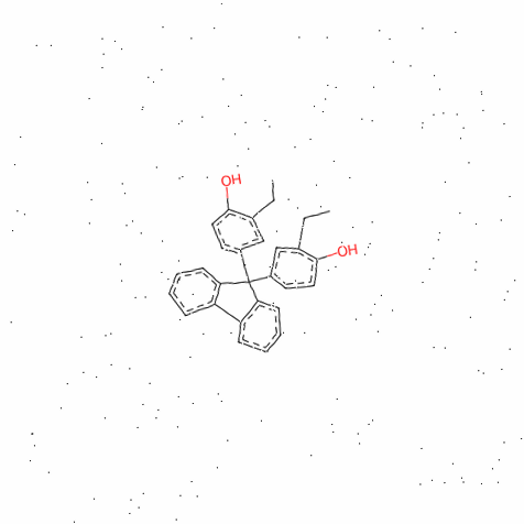 CCc1cc(C2(c3ccc(O)c(CC)c3)c3ccccc3-c3ccccc32)ccc1O